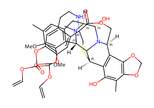 C=COC(=O)Oc1cc2c(cc1OC)[C@@]1(CS[C@@H]3c4c(O)c(C)c5c(c4[C@H](COC1=O)N1C3[C@@H]3c4c(cc(C)c(OC)c4OC(=O)OC=C)C[C@@H]([C@@H]1O)N3C)OCO5)NCC2